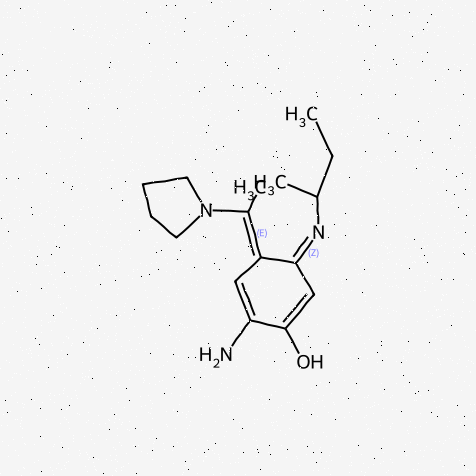 CCC(C)/N=C1/C=C(O)C(N)=C/C1=C(/C)N1CCCC1